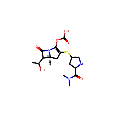 CC(O)C1C(=O)N2C(OC(=O)O)=C(SC3CNC(C(=O)N(C)C)C3)C[C@H]12